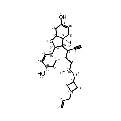 C#CC(CC[C@@H](I)OC1CN(CC=C)C1)C1[C@@H]2CC=C(O)CC2S[C@@H]1[C@H]1C=C[C@@H](O)CC1